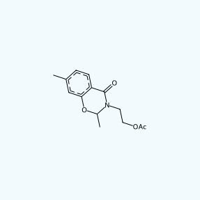 CC(=O)OCCN1C(=O)c2ccc(C)cc2OC1C